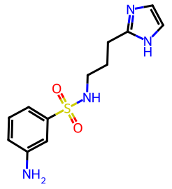 Nc1cccc(S(=O)(=O)NCCCc2ncc[nH]2)c1